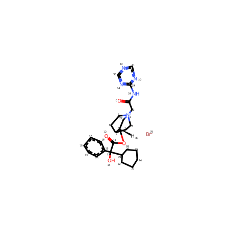 O=C(C[N+]12CCC(CC1)[C@@H](OC(=O)C(O)(c1ccccc1)C1CCCCC1)C2)Nc1ncncn1.[Br-]